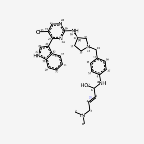 CN(C)C/C=C/C(O)Nc1ccc(CN2CC[C@@H](Nc3ncc(Cl)c(-c4c[nH]c5ccccc45)n3)C2)cc1